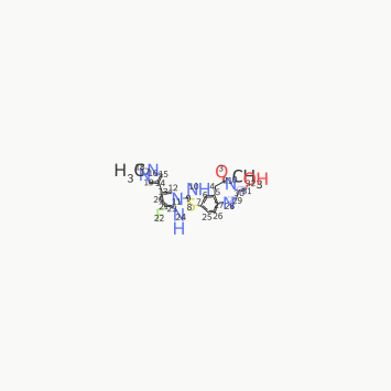 CN1C(=O)Cc2cc(SC(=N)n3cc(-c4cnn(C)c4)cc(F)c3=N)ccc2/N=C\C1=C\O